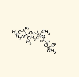 CC(F)C(C)(N)OCCC(C)(C)OCCOC(N)=O